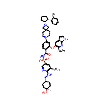 COc1nc2[nH]ccc2cc1Oc1cc(N2CCC3(CC2)CN([C@@H]2CCC[C@@H]2c2ccccc2C(C)C)C3)ccc1C(=O)NS(=O)(=O)c1cnc(NC[C@H]2CC[C@](C)(O)CC2)c([N+](=O)[O-])c1